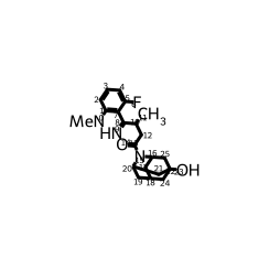 CNc1cccc(F)c1C(=N)C(C)CC(=O)N1C2CC3CC1CC(O)(C3)C2